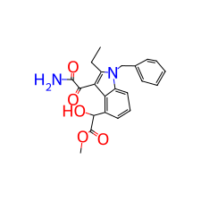 CCc1c(C(=O)C(N)=O)c2c(C(O)C(=O)OC)cccc2n1Cc1ccccc1